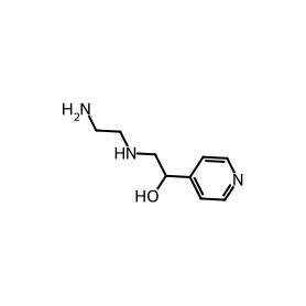 NCCNCC(O)c1ccncc1